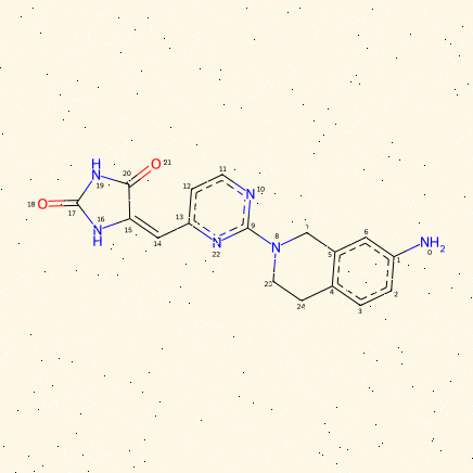 Nc1ccc2c(c1)CN(c1nccc(C=C3NC(=O)NC3=O)n1)CC2